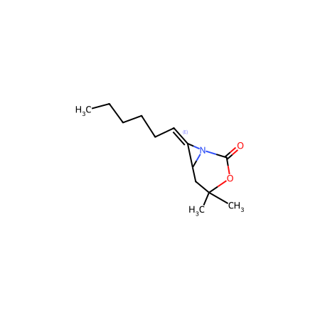 CCCCC/C=C1\C2CC(C)(C)OC(=O)N12